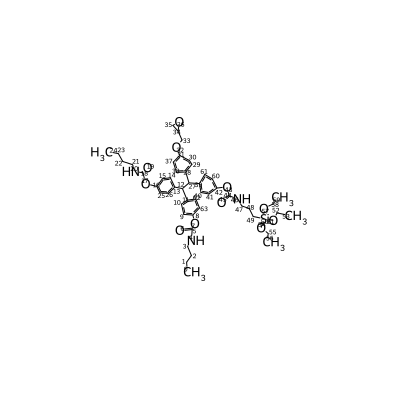 CCCCNC(=O)Oc1ccc(C(c2ccc(OC(=O)NCCCC)cc2)C(c2ccc(OCC3CO3)cc2)c2ccc(OC(=O)NCCC[Si](OCC)(OCC)OCC)cc2)cc1